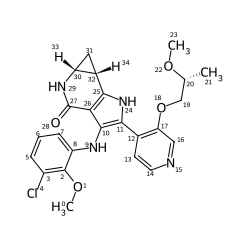 COc1c(Cl)cccc1Nc1c(-c2ccncc2OC[C@@H](C)OC)[nH]c2c1C(=O)N[C@@H]1C[C@H]21